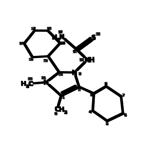 CC1=C(C2CCCCC2)N(NC(N)=S)C(C2CCCCC2)N1C